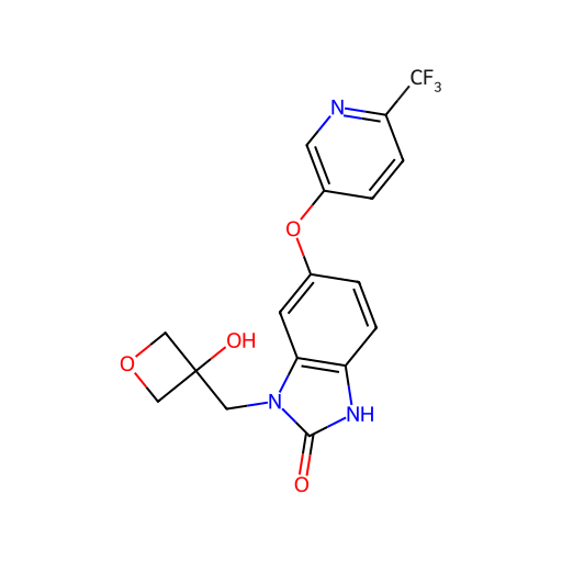 O=c1[nH]c2ccc(Oc3ccc(C(F)(F)F)nc3)cc2n1CC1(O)COC1